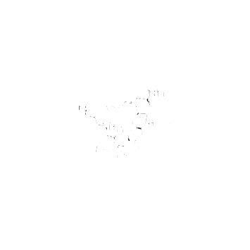 CCCCCCCCCCCN(CC(N)=O)C(=O)CN(CCCCCCCCCC)C(=O)CN(CCCCCCCCCCC)C(=O)CN(CCCCCCCCCC)C(=O)CNCCCN